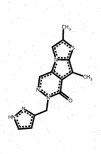 Cc1cn2c(s1)c(C)c1c(=O)n(Cc3cc[nH]n3)ncc12